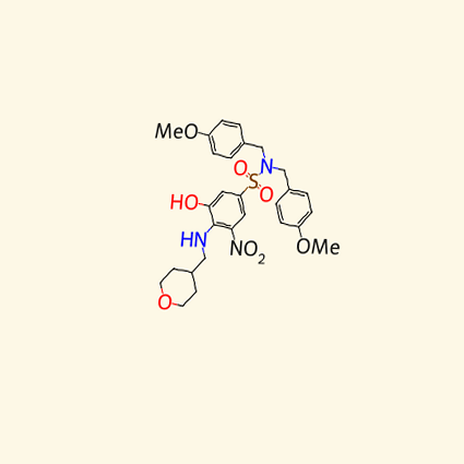 COc1ccc(CN(Cc2ccc(OC)cc2)S(=O)(=O)c2cc(O)c(NCC3CCOCC3)c([N+](=O)[O-])c2)cc1